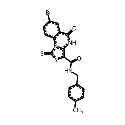 Cc1ccc(CNC(=O)c2sc(=S)n3c2[nH]c(=O)c2cc(Br)ccc23)cc1